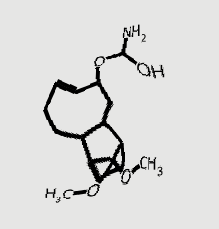 COC1(OC)C2CCC1C1CC(OC(N)O)/C=C/CCC12